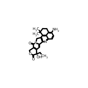 CC[C@@]1(O)C(=O)OCc2c1cc1n(c2=O)Cc2c-1nc1ccc(N)c3c1c2C(C)(C)CC3